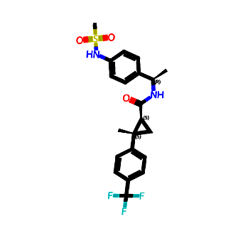 C[C@@H](NC(=O)[C@H]1C[C@]1(C)c1ccc(C(F)(F)F)cc1)c1ccc(NS(C)(=O)=O)cc1